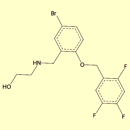 OCCNCc1cc(Br)ccc1OCc1cc(F)c(F)cc1F